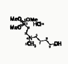 CO[Si](CCN(C)CCCCO)(OC)OC.Cl